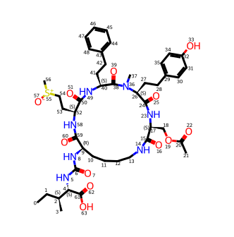 CC[C@H](C)[C@H](NC(=O)N[C@@H]1CCCCNC(=O)[C@H](COC(C)=O)NC(=O)[C@H](CCc2ccc(O)cc2)N(C)C(=O)[C@H](CCc2ccccc2)NC(=O)[C@H](CC[S+](C)[O-])NC1=O)C(=O)O